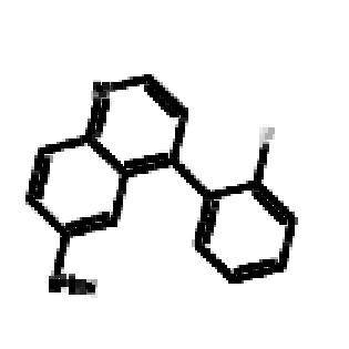 CCCCCCc1ccc2nccc(-c3ccccc3F)c2c1